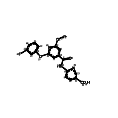 CC(C)Oc1cc(C(=O)Nc2ccc(C(=O)O)cn2)cc(Oc2cccc(F)c2)n1